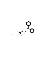 CC1(O)CCN(CCC(c2ccccc2)c2ccccc2)C1